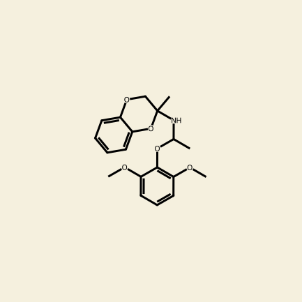 COc1cccc(OC)c1OC(C)NC1(C)COc2ccccc2O1